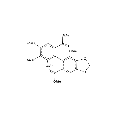 COC(=O)c1cc(OC)c(OC)c(OC)c1-c1c(C(=O)OC)cc2c(c1OC)OCO2